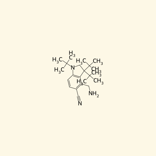 CC(C)(C)N1CC(C(C)(C)C)(C(C)(C)C)c2c1ccc(C#N)c2CN